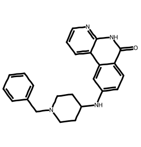 O=c1[nH]c2ncccc2c2cc(NC3CCN(Cc4ccccc4)CC3)ccc12